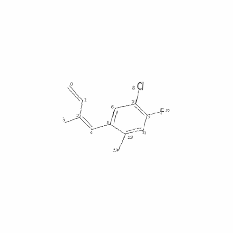 C=C/C(C)=C\c1cc(Cl)c(F)cc1C